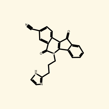 N#Cc1ccc2c3c(n(CCCc4ncc[nH]4)c(=O)c2c1)-c1ccccc1C3=O